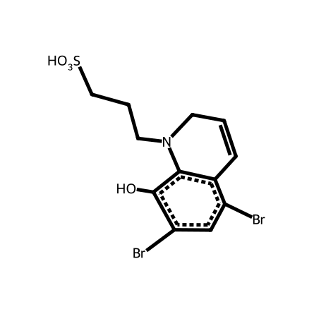 O=S(=O)(O)CCCN1CC=Cc2c(Br)cc(Br)c(O)c21